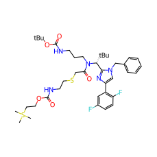 CC(C)(C)OC(=O)NCCCN(C(=O)CSCCNC(=O)OCCS(C)(C)C)[C@@H](c1nc(-c2cc(F)ccc2F)cn1Cc1ccccc1)C(C)(C)C